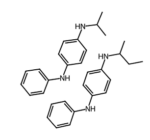 CC(C)Nc1ccc(Nc2ccccc2)cc1.CCC(C)Nc1ccc(Nc2ccccc2)cc1